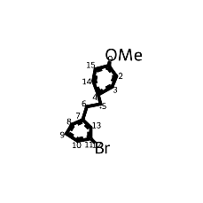 COc1ccc([CH]Cc2cccc(Br)c2)cc1